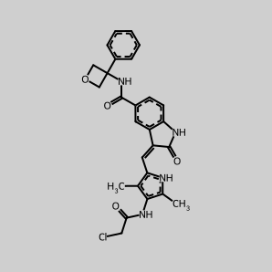 Cc1[nH]c(C=C2C(=O)Nc3ccc(C(=O)NC4(c5ccccc5)COC4)cc32)c(C)c1NC(=O)CCl